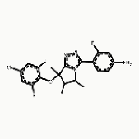 CC1C(C)C(C)(Oc2c(F)cc(Cl)cc2F)c2nnc(-c3ccc(N)cc3F)n21